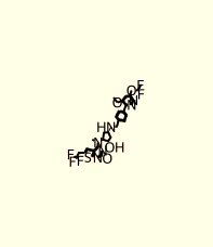 COc1nc(N(C)[C@H]2C[C@@H](NCc3ccc(-c4nnc(OC(F)F)cc4OC)cc3)C[C@H]2O)c2cc(CC(F)(F)F)sc2n1